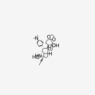 CC#C[C@]1(NO)CC[C@H]2[C@@H]3CC[C@@]4(O)CC5(CCC4=C3[C@@H](c3ccc(N(C)C)cc3)C[C@@]21C)OCCO5